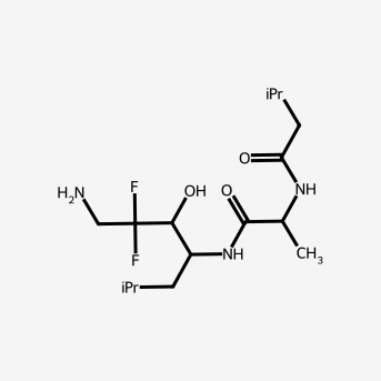 CC(C)CC(=O)NC(C)C(=O)NC(CC(C)C)C(O)C(F)(F)CN